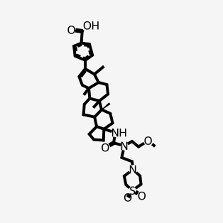 COCCN(CCN1CCS(=O)(=O)CC1)C(=O)NC12CCCC1C1CCC3C4(C)CC=C(c5ccc(C(=O)O)cc5)C(C)C4CCC3(C)[C@]1(C)CC2